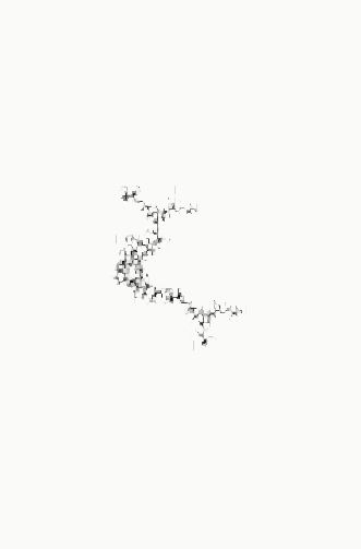 CN[C@@H](CC(C)C)C(=O)O.CN[C@@H](CC(C)C)C(=O)O.NC(=O)CC[C@H](N)C(=O)O[C@@](CCCCC(=O)C(=O)O)(CCCC(=O)C(=O)O)C(=O)O.NC(=O)CC[C@H](N)C(=O)O[C@@](CCCCC(=O)C(=O)O)(CCCC(=O)C(=O)O)C(=O)O.O=C(O)C1CCCC1.O=C1CC[C@@H](C(=O)O)N1